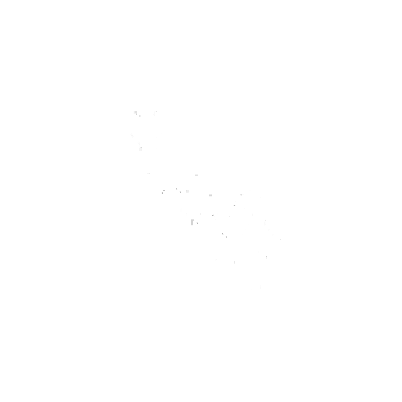 CC(C)c1cccc(C(C)C)c1NC(=O)NS(=O)(=O)N1CCC(c2ccccc2)CC1